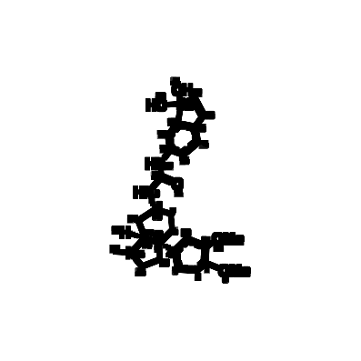 COc1ccc([C@@]23CC[C@@H](NC(=O)Nc4ccc5c(c4)S(O)(O)C=C5)C[C@@H]2N(C)CC3)cc1OC